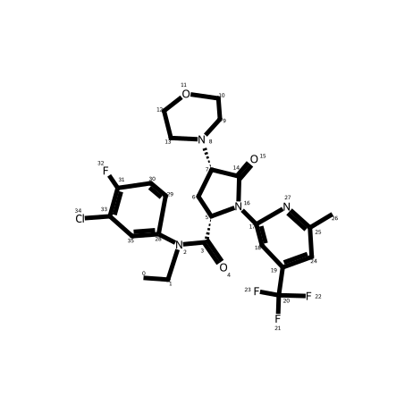 CCN(C(=O)[C@@H]1C[C@H](N2CCOCC2)C(=O)N1c1cc(C(F)(F)F)cc(C)n1)c1ccc(F)c(Cl)c1